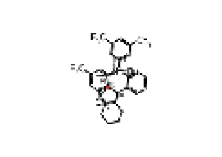 C[C@H]([C@@H]1CC2=C(CCCC2)[C@@H]1c1ccccc1P(c1cc(C(F)(F)F)cc(C(F)(F)F)c1)c1cc(C(F)(F)F)cc(C(F)(F)F)c1)P(C(C)(C)C)C(C)(C)C